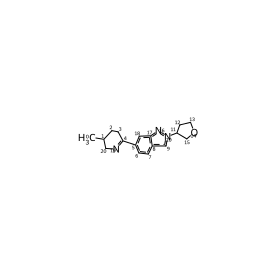 CC1CCC(c2ccc3cn(C4CCOC4)nc3c2)=NC1